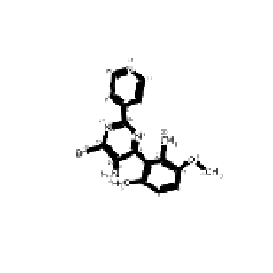 COc1ccc(C)c(-c2nc(-c3ccncc3)nc(Br)c2N)c1C